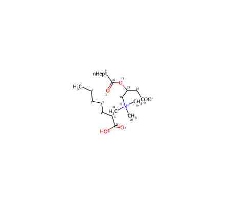 CCCCCCC(=O)O.CCCCCCCC(=O)OC(CC(=O)[O-])C[N+](C)(C)C